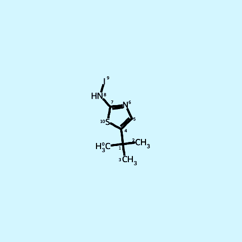 CC(C)(C)c1cnc(NI)s1